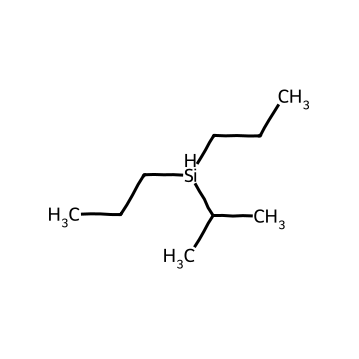 CCC[SiH](CCC)C(C)C